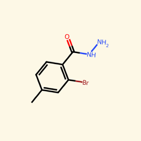 Cc1ccc(C(=O)NN)c(Br)c1